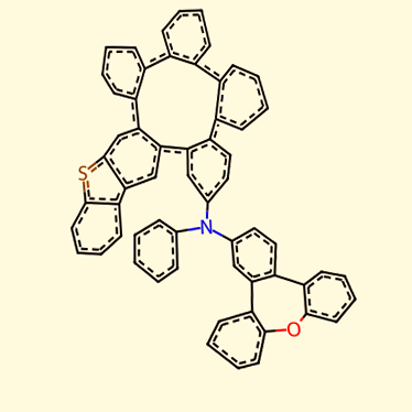 c1ccc(N(c2ccc3c(c2)-c2ccccc2Oc2ccccc2-3)c2ccc3c4ccccc4c4ccccc4c4ccccc4c4cc5sc6ccccc6c5cc4c3c2)cc1